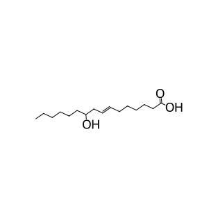 CCCCCCC(O)CC=CCCCCCC(=O)O